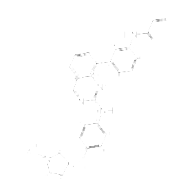 C=CC(=O)Nc1cccc(-c2cccc3cnc(Nc4ccc(O[C@@H]5CCN(C(C)=O)C5)cc4)nc23)c1